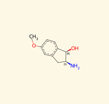 COc1ccc2c(c1)C[C@H](N)[C@@H]2O